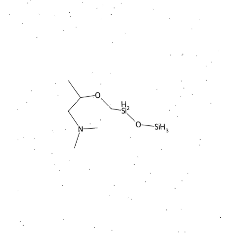 CC(CN(C)C)OC[SiH2]O[SiH3]